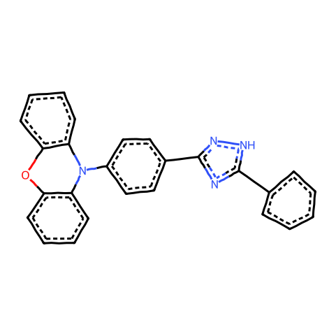 c1ccc(-c2nc(-c3ccc(N4c5ccccc5Oc5ccccc54)cc3)n[nH]2)cc1